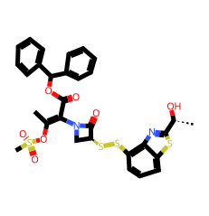 C/C(OS(C)(=O)=O)=C(\C(=O)OC(c1ccccc1)c1ccccc1)N1C[C@H](SSc2cccc3sc([C@@H](C)O)nc23)C1=O